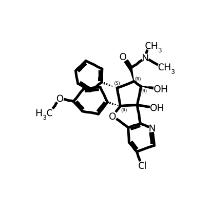 COc1ccc([C@@]23Oc4cc(Cl)cnc4C2(O)[C@H](O)[C@H](C(=O)N(C)C)[C@H]3c2ccccc2)cc1